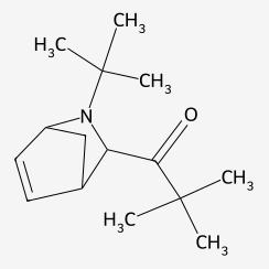 CC(C)(C)C(=O)C1C2C=CC(C2)N1C(C)(C)C